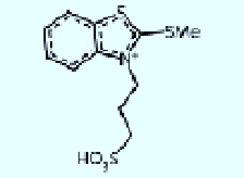 CSc1sc2ccccc2[n+]1CCCS(=O)(=O)O